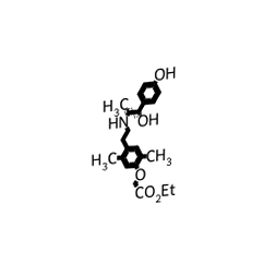 CCOC(=O)COc1cc(C)c(CCN[C@@H](C)[C@@H](O)c2ccc(O)cc2)cc1C